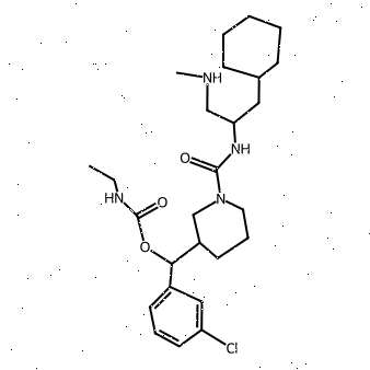 CCNC(=O)OC(c1cccc(Cl)c1)C1CCCN(C(=O)NC(CNC)CC2CCCCC2)C1